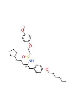 CCCCCCOc1ccc(C[C@@H](CCCC2CCCC2)N[S+]([O-])CCOc2ccc(OC)cc2)cc1